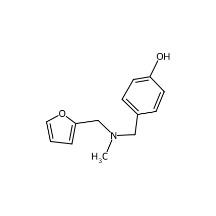 CN(Cc1ccc(O)cc1)Cc1ccco1